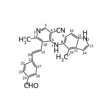 Cc1ncc(C#N)c(Nc2ccc3[nH]ccc3c2C)c1/C=C/c1ccc(C=O)cc1